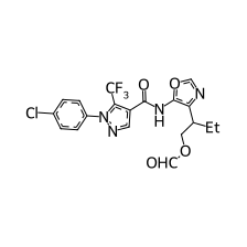 CCC(COC=O)c1ncoc1NC(=O)c1cnn(-c2ccc(Cl)cc2)c1C(F)(F)F